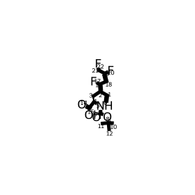 C=C/C(C[C@@H](NC(=O)OC(C)(C)C)C(=O)O)=C(F)\C=C(\F)CF